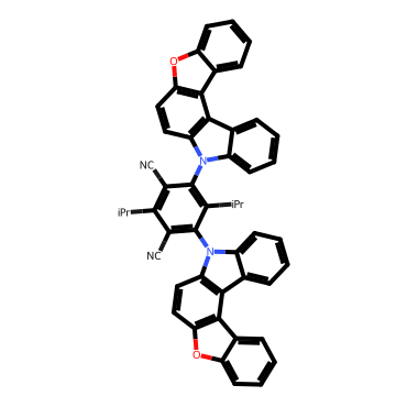 CC(C)c1c(C#N)c(-n2c3ccccc3c3c4c(ccc32)oc2ccccc24)c(C(C)C)c(-n2c3ccccc3c3c4c(ccc32)oc2ccccc24)c1C#N